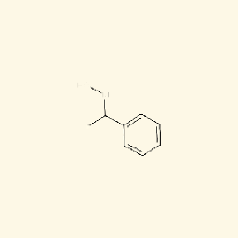 ONC(I)c1ccccc1